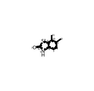 Cc1ccc2[nH]c(=O)sc2c1C